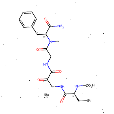 CC[C@H](C)C(NC(=O)[C@H](CC(C)C)NC(=O)O)C(=O)C(=O)NCC(=O)N(C)[C@@H](Cc1ccccc1)C(N)=O